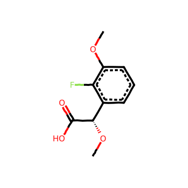 COc1cccc([C@H](OC)C(=O)O)c1F